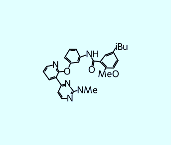 CCC(C)c1ccc(OC)c(C(=O)Nc2cccc(Oc3ncccc3-c3ccnc(NC)n3)c2)c1